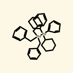 c1ccc(C[PH](Cc2ccccc2)(Cc2ccccc2)[PH](c2ccccc2)(C2CCCCC2)C2CCCCC2)cc1